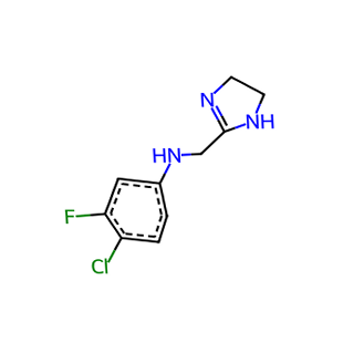 Fc1cc(NCC2=NCCN2)ccc1Cl